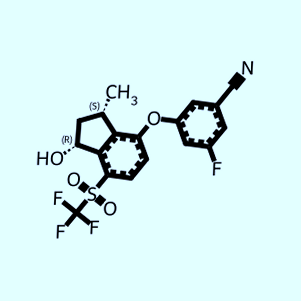 C[C@H]1C[C@@H](O)c2c(S(=O)(=O)C(F)(F)F)ccc(Oc3cc(F)cc(C#N)c3)c21